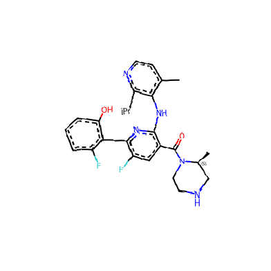 Cc1ccnc(C(C)C)c1Nc1nc(-c2c(O)cccc2F)c(F)cc1C(=O)N1CCNC[C@@H]1C